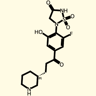 O=C1CN(c2c(O)cc(C(=O)CC[C@H]3CCCNC3)cc2F)S(=O)(=O)N1